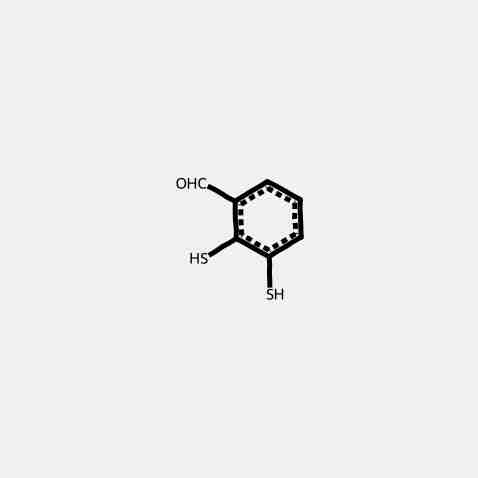 O=Cc1cccc(S)c1S